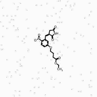 CCOC(=O)CCCOc1ccc([N+](=O)[O-])c(C=C2CC(=O)NC2=O)c1